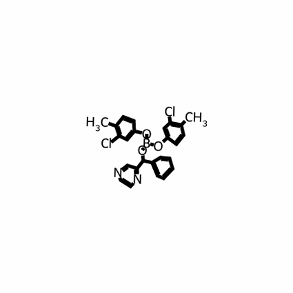 Cc1ccc(OB(Oc2ccc(C)c(Cl)c2)OC(c2ccccc2)c2cnccn2)cc1Cl